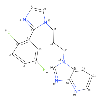 Fc1ccc(F)c(-c2nccn2CCCn2cnc3ncccc32)c1